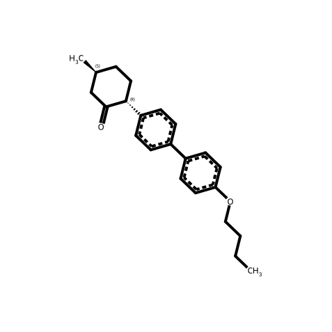 CCCCOc1ccc(-c2ccc([C@H]3CC[C@H](C)CC3=O)cc2)cc1